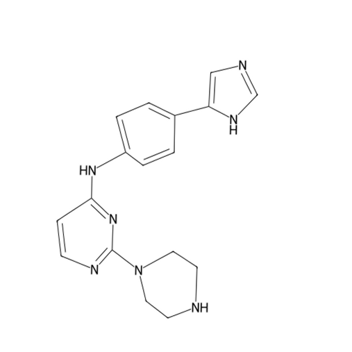 c1cc(Nc2ccc(-c3cnc[nH]3)cc2)nc(N2CCNCC2)n1